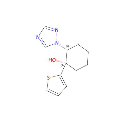 O[C@@]1(c2cccs2)CCCC[C@H]1n1cncn1